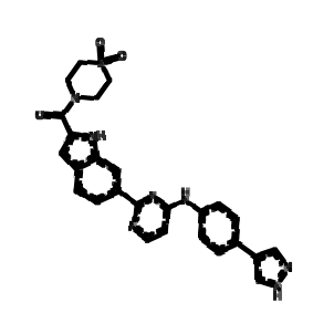 O=C(c1cc2ccc(-c3nccc(Nc4ccc(-c5cn[nH]c5)cc4)n3)cc2[nH]1)N1CCS(=O)(=O)CC1